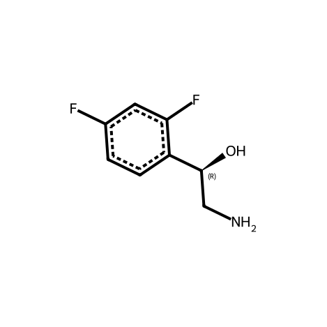 NC[C@H](O)c1ccc(F)cc1F